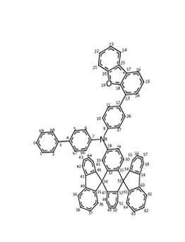 c1ccc(-c2ccc(N(c3ccc(-c4cccc5c4oc4ccccc45)cc3)c3ccc4c(c3)C3(c5ccccc5-c5ccccc53)c3ccccc3C43c4ccccc4-c4ccccc43)cc2)cc1